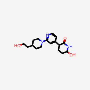 O=C1NC(O)CCC1c1ccnc(N2CCC(CCO)CC2)c1